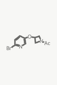 CC(=O)N1CC(Oc2ccc(Br)nc2)C1